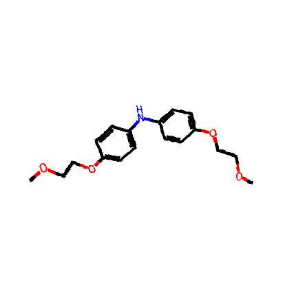 COCCOc1ccc(Nc2ccc(OCCOC)cc2)cc1